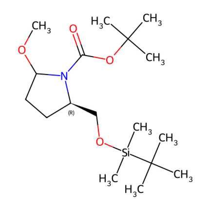 COC1CC[C@H](CO[Si](C)(C)C(C)(C)C)N1C(=O)OC(C)(C)C